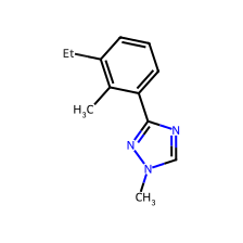 CCc1cccc(-c2ncn(C)n2)c1C